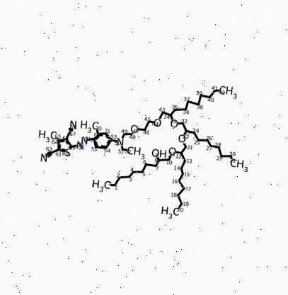 CCCCCCCCC(O)COC(CCCCCCCC)COC(CCCCCCCC)COC(CCCCCCCC)COCCOCCN(CC)c1ccc(/N=N/c2sc(C#N)c(C)c2C#N)c(C)c1